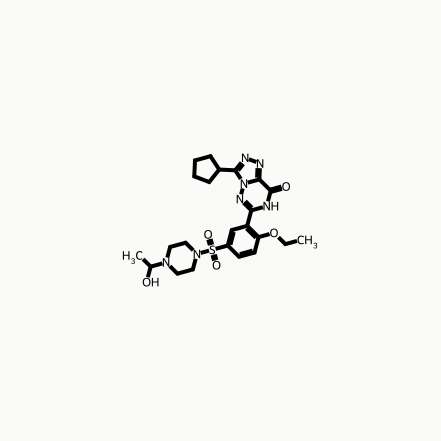 CCOc1ccc(S(=O)(=O)N2CCN(C(C)O)CC2)cc1-c1nn2c(C3CCCC3)nnc2c(=O)[nH]1